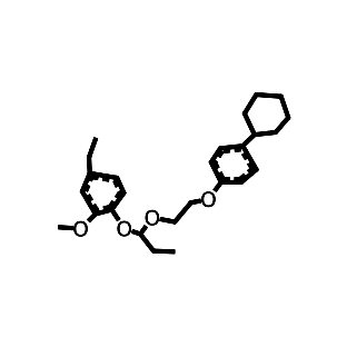 CCc1ccc(OC(CC)OCCOc2ccc(C3CCCCC3)cc2)c(OC)c1